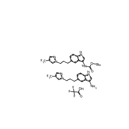 CC(C)(C)OC(=O)Nc1c[nH]c2ccc(CCCn3cc(C(F)(F)F)cn3)cc12.Nc1c[nH]c2ccc(CCCn3cc(C(F)(F)F)cn3)cc12.O=C(O)C(F)(F)F